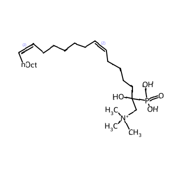 CCCCCCCC/C=C\CCCCC/C=C\CCCCC(O)(C[N+](C)(C)C)P(=O)(O)O